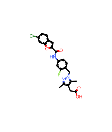 Cc1nn(Cc2ccc(NC(=O)c3cc4ccc(Cl)cc4o3)cc2F)c(C)c1CC(=O)O